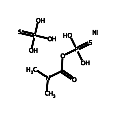 CN(C)C(=O)OP(O)(O)=S.OP(O)(O)=S.[Ni]